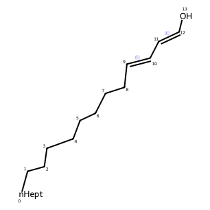 CCCCCCCCCCCCCCC/C=C/C=C/O